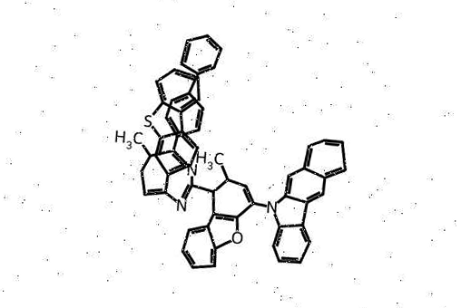 CC1C/C=C(c2ccc3c(c2)sc2ccccc23)/N=C(C2c3c(oc4ccccc34)C(n3c4ccccc4c4cc5ccccc5cc43)=CC2C)\N=C/1c1ccc(-c2ccccc2)cc1